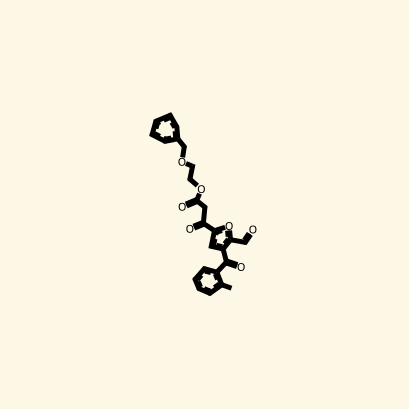 Cc1ccccc1C(=O)c1cc(C(=O)CC(=O)OCCOCc2ccccc2)oc1C=O